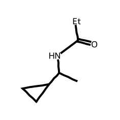 CCC(=O)NC(C)C1CC1